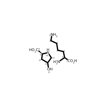 NCCCCC(N)C(=O)O.O=C(O)[C@@H]1CC(O)CN1